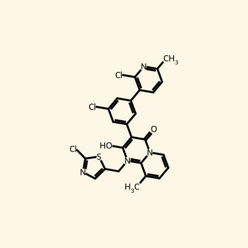 Cc1ccc(-c2cc(Cl)cc(-c3c(O)[n+](Cc4cnc(Cl)s4)c4c(C)cccn4c3=O)c2)c(Cl)n1